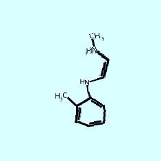 CN/C=C\Nc1ccccc1C